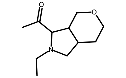 CCN1CC2CCOCC2C1C(C)=O